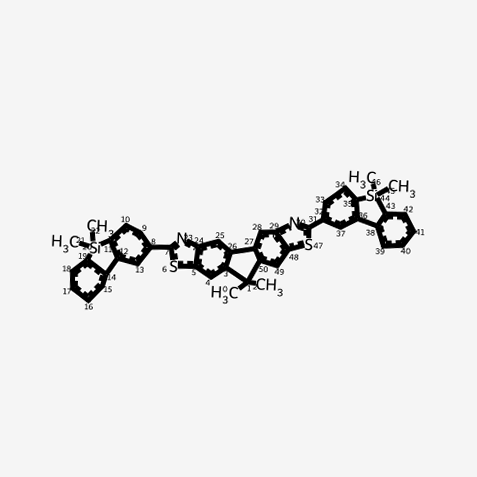 CC1(C)c2cc3sc(-c4ccc5c(c4)-c4ccccc4[Si]5(C)C)nc3cc2-c2cc3nc(-c4ccc5c(c4)-c4ccccc4[Si]5(C)C)sc3cc21